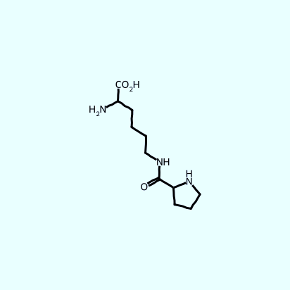 NC(CCCCNC(=O)C1CCCN1)C(=O)O